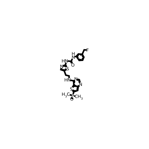 CP(C)(=O)c1cc2ncnc(NCCc3cnc(NC(=O)Nc4cccc(CF)c4)s3)c2s1